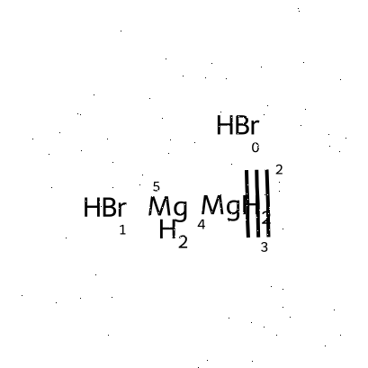 Br.Br.C#C.[MgH2].[MgH2]